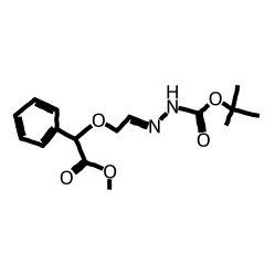 COC(=O)C(OCC=NNC(=O)OC(C)(C)C)c1ccccc1